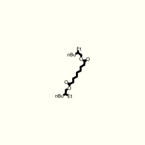 CCCCC(CC)COC(=O)CCCCCCCC(=O)OCC(CC)CCCC